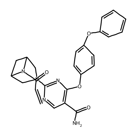 C=CC(=O)N1C2CC1CN(c1ncc(C(N)=O)c(Oc3ccc(Oc4ccccc4)cc3)n1)C2